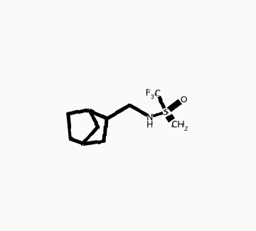 C=S(=O)(NCC1CC2CCC1C2)C(F)(F)F